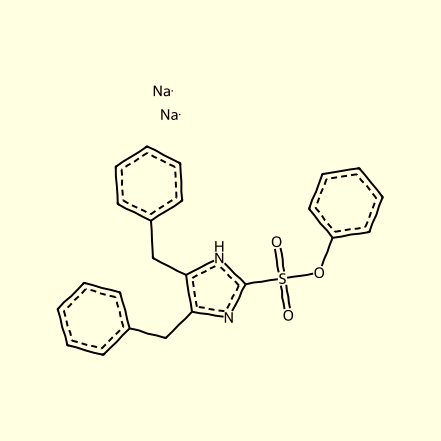 O=S(=O)(Oc1ccccc1)c1nc(Cc2ccccc2)c(Cc2ccccc2)[nH]1.[Na].[Na]